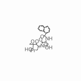 CC(C)C[C@H](NC(=O)[C@H](CO)NC(=O)c1cccc2ccccc12)C(=O)C1(CO)CO1